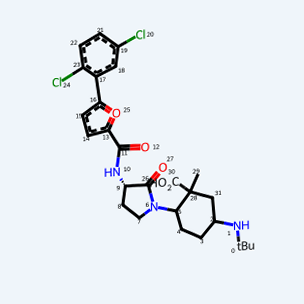 CC(C)(C)NC1CCC(N2CC[C@H](NC(=O)c3ccc(-c4cc(Cl)ccc4Cl)o3)C2=O)C(C)(C(=O)O)C1